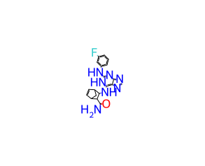 NC(=O)C1C2C=CC(C2)C1Nc1[nH]c(Nc2cccc(F)c2)nc2ncnc1-2